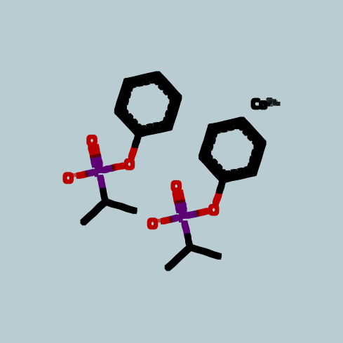 CC(C)P(=O)([O-])Oc1ccccc1.CC(C)P(=O)([O-])Oc1ccccc1.[Co+2]